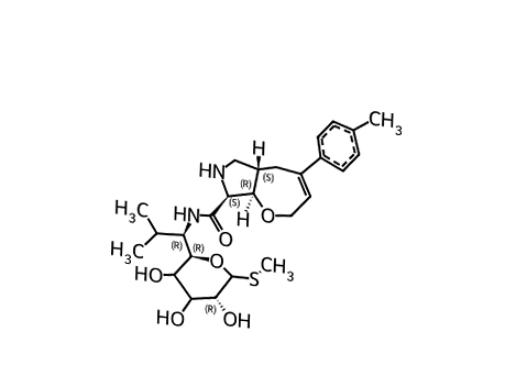 CSC1O[C@H]([C@H](NC(=O)[C@H]2NC[C@@H]3CC(c4ccc(C)cc4)=CCO[C@H]32)C(C)C)C(O)C(O)[C@H]1O